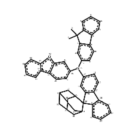 CC1(C)c2ccccc2-c2ccc(N(c3ccc4c(c3)C3(c5ccccc5-4)C4CC5CC(C4)CC3C5)c3ccc4c(c3)oc3ccccc34)cc21